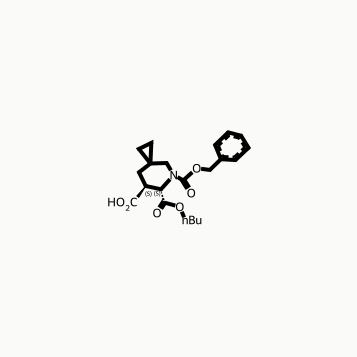 CCCCOC(=O)[C@@H]1[C@@H](C(=O)O)CC2(CC2)CN1C(=O)OCc1ccccc1